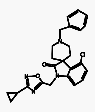 O=C1N(Cc2nc(C3CC3)no2)c2cccc(Cl)c2C12CCN(Cc1ccccc1)CC2